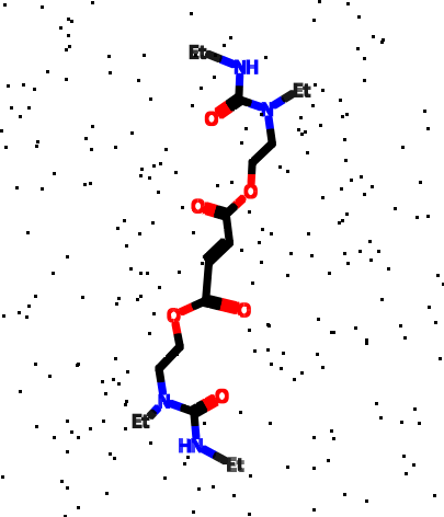 CCNC(=O)N(CC)CCOC(=O)/C=C/C(=O)OCCN(CC)C(=O)NCC